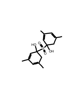 CC1=CC(O)(S(=O)(=O)C2(O)C=C(C)C=C(C)C2)CC(C)=C1